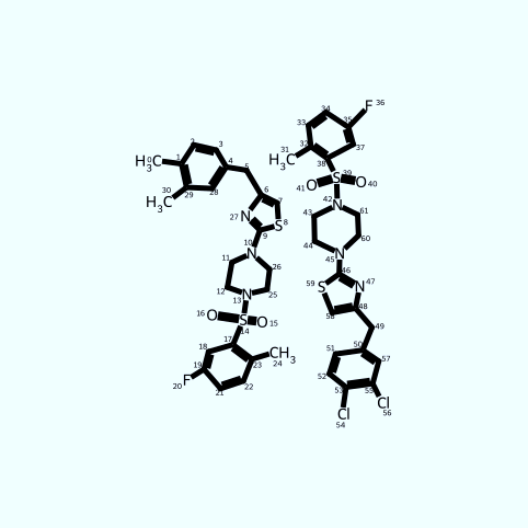 Cc1ccc(Cc2csc(N3CCN(S(=O)(=O)c4cc(F)ccc4C)CC3)n2)cc1C.Cc1ccc(F)cc1S(=O)(=O)N1CCN(c2nc(Cc3ccc(Cl)c(Cl)c3)cs2)CC1